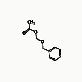 CC(=O)OCOCc1ccccc1